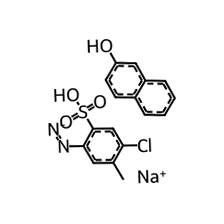 Cc1cc(N=[N-])c(S(=O)(=O)O)cc1Cl.Oc1ccc2ccccc2c1.[Na+]